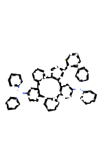 c1ccc(N(c2ccccc2)c2ccc3c4ccccc4c4ccc(N(c5ccccc5)c5ccccc5)cc4c4cc5c(cc4c4ccccc4c3c2)sc2ccccc25)cc1